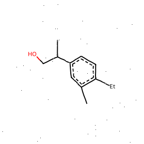 [CH2]C(CO)c1ccc(CC)c(C)c1